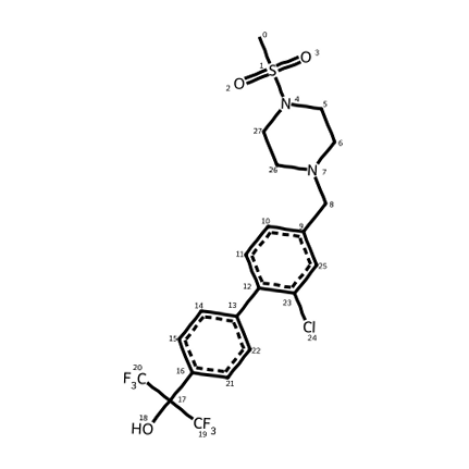 CS(=O)(=O)N1CCN(Cc2ccc(-c3ccc(C(O)(C(F)(F)F)C(F)(F)F)cc3)c(Cl)c2)CC1